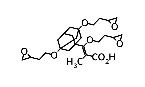 CC(C(=O)O)=C(OCCC1CO1)C12CC3CC(OCCC4CO4)(CC(OCCC4CO4)(C3)C1)C2